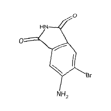 Nc1cc2c(cc1Br)C(=O)NC2=O